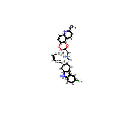 Cc1ccc2c3c(ccc2n1)OC[C@H](CNC[C@H]1CCc2[nH]c4ccc(F)cc4c2C1)O3.O=C(O)/C=C\C(=O)O